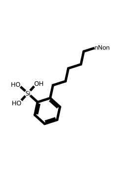 CCCCCCCCCCCCCCc1ccccc1[Si](O)(O)O